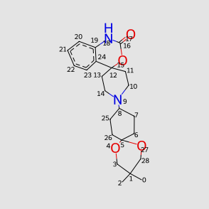 CC1(C)COC2(CCC(N3CCC4(CC3)OC(=O)Nc3ccccc34)CC2)OC1